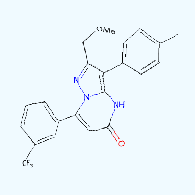 COCc1nn2c(-c3cccc(C(F)(F)F)c3)cc(=O)[nH]c2c1-c1ccc(C)cc1